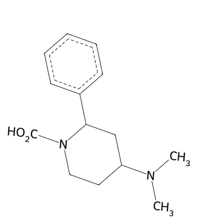 CN(C)C1CCN(C(=O)O)C(c2ccccc2)C1